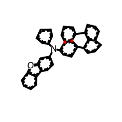 c1ccc(-c2cccc3cccc(-c4ccc(N(c5ccccc5)c5ccc6c(c5)oc5ccccc56)cc4)c23)cc1